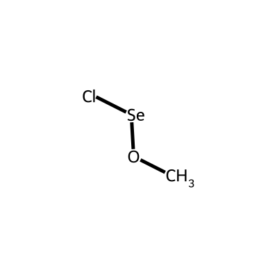 CO[Se]Cl